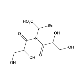 CCC(C)C(C(=O)O)N(C(=O)C(O)CO)C(=O)C(O)CO